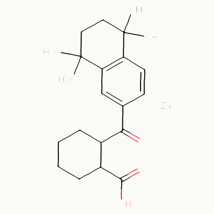 CC1(C)CCC(C)(C)c2cc(C(=O)C3CCCCC3C(=O)O)ccc21.[Zn]